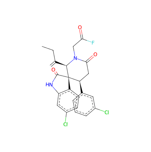 C=C(CC)[C@H]1N(CC(=O)F)C(=O)C[C@@H](c2cccc(Cl)c2)[C@]12C(=O)Nc1cc(Cl)ccc12